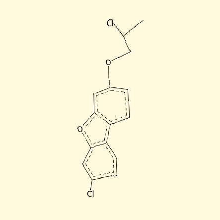 CC(Cl)COc1ccc2c(c1)oc1cc(Cl)ccc12